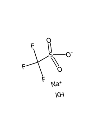 O=S(=O)([O-])C(F)(F)F.[KH].[Na+]